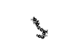 COC1CCN(c2nccc(Nc3cc4c(cn3)c(N3CCC(N5CCN(Cc6cc(F)c7c(c6)C(=O)N(C6CCC(=O)NC6=O)C7=O)CC5)CC3)nn4C(C)C)n2)CC1